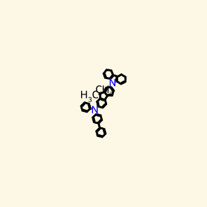 CC1(C)c2cc(N(c3ccccc3)c3ccc(-c4ccccc4)cc3)ccc2-c2ccc(-n3c4c(c5c3C=CCC5)CCC=C4)cc21